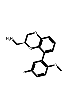 COc1ccc(F)cc1-c1cccc2c1O[C@@H](CN)CO2